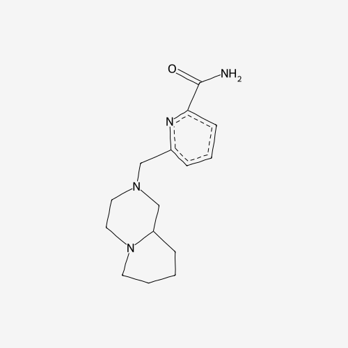 NC(=O)c1cccc(CN2CCN3CCCCC3C2)n1